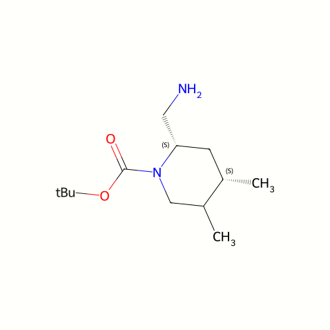 CC1CN(C(=O)OC(C)(C)C)[C@H](CN)C[C@@H]1C